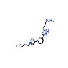 CCCCn1cc(-c2cccc(-c3cn(CCCN)nn3)c2)nn1